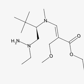 CCOC(=O)/C(=C/N(C)[C@@H](CN(N)CC)C(C)(C)C)COC